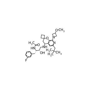 COC1CN(c2nc(CC(C)(C)C)cc3c2OC2(CCC2)C[C@@H]3NC[C@H](O)[C@H](Cc2cccc(F)c2)NC(C)=O)C1